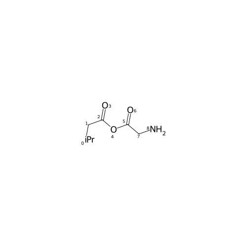 CC(C)CC(=O)OC(=O)CN